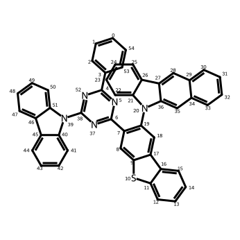 c1ccc(-c2nc(-c3cc4sc5ccccc5c4cc3-n3c4ccccc4c4cc5ccccc5cc43)nc(-n3c4ccccc4c4ccccc43)n2)cc1